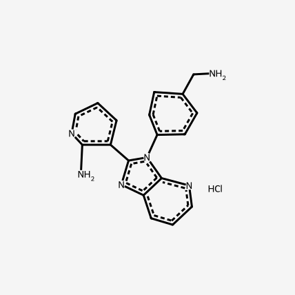 Cl.NCc1ccc(-n2c(-c3cccnc3N)nc3cccnc32)cc1